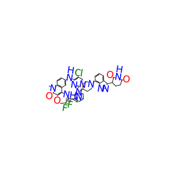 Cn1nc(C2CCC(=O)NC2=O)c2cccc(N3CCC(CN4C5CC4CN(c4ncc(Cl)c(Nc6ccc7c(c6)c6c(c(=O)n7C)OCC(F)(F)[C@H](C7CC7)N6)n4)C5)CC3)c21